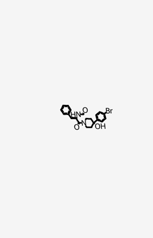 O=CN/C(=C\c1ccccc1)C(=O)N1CCC(O)(c2ccc(Br)cc2)CC1